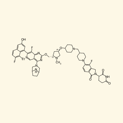 CCc1c(F)ccc2cc(O)cc(-c3ncc4c(N5CC6CCC(C5)N6)nc(OC[C@@H]5C[C@@H](OC6CCN(CC7CCN(c8ccc9c(c8F)CN(C8CCC(=O)NC8=O)C9=O)CC7)CC6)CN5C)nc4c3F)c12